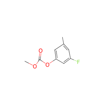 COC(=O)Oc1cc(C)cc(F)c1